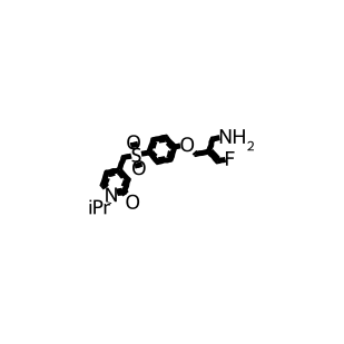 CC(C)n1ccc(CS(=O)(=O)c2ccc(OCC(=CF)CN)cc2)cc1=O